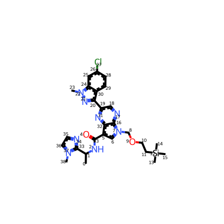 CC(NC(=O)c1cn(COCC[Si](C)(C)C)c2ncc(-c3nn(C)c4cc(Cl)ccc34)nc12)c1nccn1C